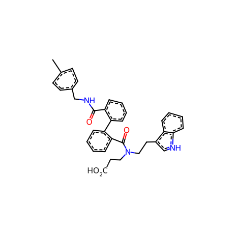 Cc1ccc(CNC(=O)c2ccccc2-c2ccccc2C(=O)N(CCC(=O)O)CCc2c[nH]c3ccccc23)cc1